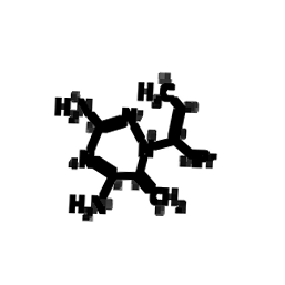 C=C1C(N)=NC(N)=NN1/C(=C\C)C(C)C